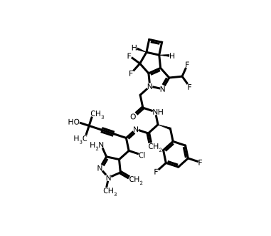 C=C(/N=C(/C#CC(C)(C)O)C(Cl)C1C(=C)N(C)N=C1N)[C@H](Cc1cc(F)cc(F)c1)NC(=O)Cn1nc(C(F)F)c2c1C(F)(F)[C@@H]1C=C[C@H]21